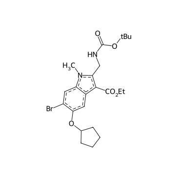 CCOC(=O)c1c(CNC(=O)OC(C)(C)C)n(C)c2cc(Br)c(OC3CCCC3)cc12